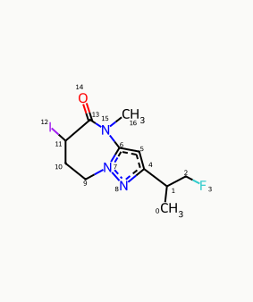 CC(CF)c1cc2n(n1)CCC(I)C(=O)N2C